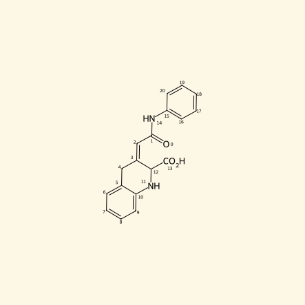 O=C(C=C1Cc2ccccc2NC1C(=O)O)Nc1ccccc1